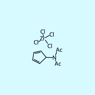 CC(=O)N(C(C)=O)C1C=CC=C1.[Cl][Zr]([Cl])([Cl])[Cl]